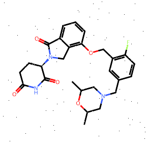 CC1CN(Cc2ccc(F)c(COc3cccc4c3CN([C@@H]3CCC(=O)NC3=O)C4=O)c2)CC(C)O1